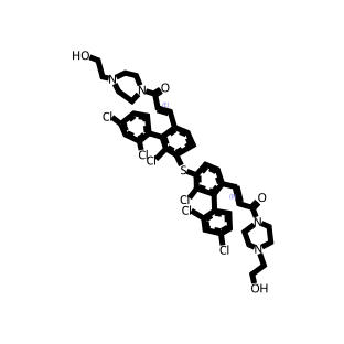 O=C(/C=C/c1ccc(Sc2ccc(/C=C/C(=O)N3CCN(CCO)CC3)c(-c3ccc(Cl)cc3Cl)c2Cl)c(Cl)c1-c1ccc(Cl)cc1Cl)N1CCN(CCO)CC1